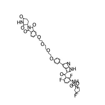 O=C1CCC(N2C(=O)c3ccc(OCCOCCOCCOc4ccc(-c5cnc6[nH]cc(C(=O)c7c(F)ccc(NS(=O)(=O)N8CC[C@@H](F)C8)c7F)c6c5)cc4)cc3C2=O)C(=O)N1